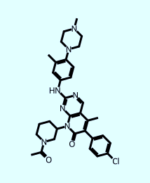 CC(=O)N1CCCC(n2c(=O)c(-c3ccc(Cl)cc3)c(C)c3cnc(Nc4ccc(N5CCN(C)CC5)c(C)c4)nc32)C1